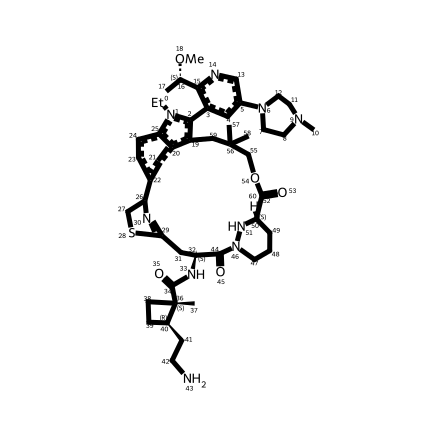 CCn1c(-c2cc(N3CCN(C)CC3)cnc2[C@H](C)OC)c2c3cc(ccc31)C1CSC(=N1)C[C@H](NC(=O)[C@@]1(C)CC[C@@H]1CCN)C(=O)N1CCC[C@H](N1)C(=O)OCC(C)(C)C2